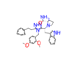 COc1ccc(Cn2c(CCc3ccccc3)nnc2[C@@H](Cc2c[nH]c3ccccc23)N2CCC[C@H]2C(N)=O)c(OC)c1